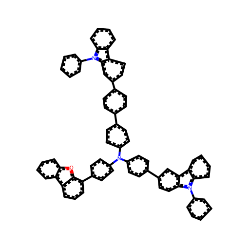 c1ccc(-n2c3ccccc3c3cc(-c4ccc(N(c5ccc(-c6ccc(-c7ccc8c9ccccc9n(-c9ccccc9)c8c7)cc6)cc5)c5ccc(-c6cccc7c6oc6ccccc67)cc5)cc4)ccc32)cc1